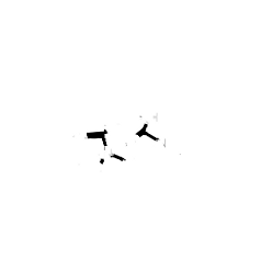 CCCCN(C(O)=S)C(C)C.NC(O)=S